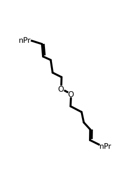 CCC/C=C/CCCOOCCC/C=C/CCC